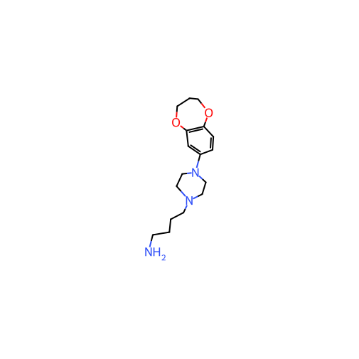 NCCCCN1CCN(c2ccc3c(c2)OCCCO3)CC1